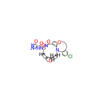 COc1nn(C)cc1C(=O)NS1(=O)=NC(=O)c2ccc3c(c2)N(Cc2ccc(Cl)cc2CCCCO3)C[C@@H]2CC[C@H]2[C@H]2OCC[C@]23CC[C@H](C3)C1